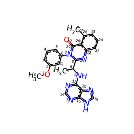 COc1cccc(-n2c(C(C)Nc3ncnc4[nH]cnc34)nc3cccc(C)c3c2=O)c1